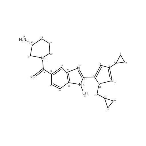 Cn1c(-c2cc(C3CC3)nn2CC2CC2)nc2cc(C(=O)N3CCC[C@@H](N)C3)ccc21